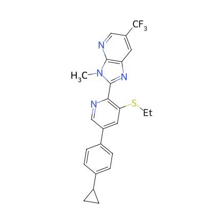 CCSc1cc(-c2ccc(C3CC3)cc2)cnc1-c1nc2cc(C(F)(F)F)cnc2n1C